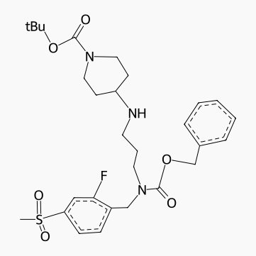 CC(C)(C)OC(=O)N1CCC(NCCCN(Cc2ccc(S(C)(=O)=O)cc2F)C(=O)OCc2ccccc2)CC1